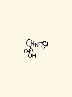 O=C(O)OC1CCCCN1/N=C/c1ccco1